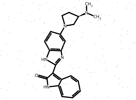 CN(C)[C@@H]1CCN(c2ccc3[nH]c(-c4c5cccccc-5[nH]c4=O)nc3c2)C1